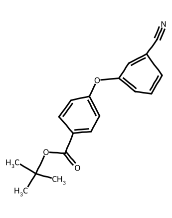 CC(C)(C)OC(=O)c1ccc(Oc2cccc(C#N)c2)cc1